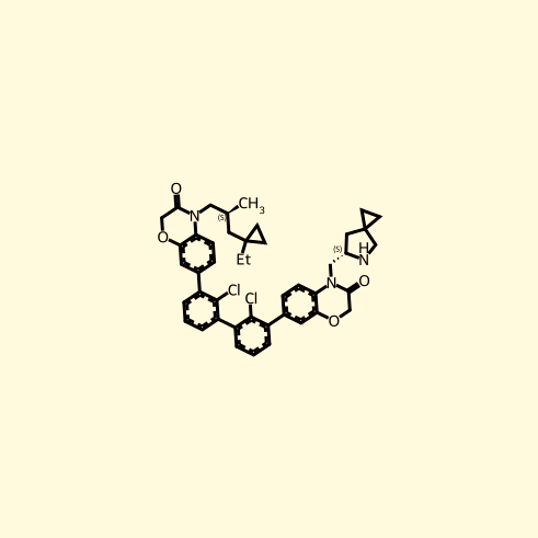 CCC1(C[C@H](C)CN2C(=O)COc3cc(-c4cccc(-c5cccc(-c6ccc7c(c6)OCC(=O)N7C[C@@H]6CC7(CC7)CN6)c5Cl)c4Cl)ccc32)CC1